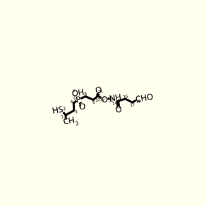 CC(S)CCP(=O)(O)CCC(=O)ONC(=O)CCC=O